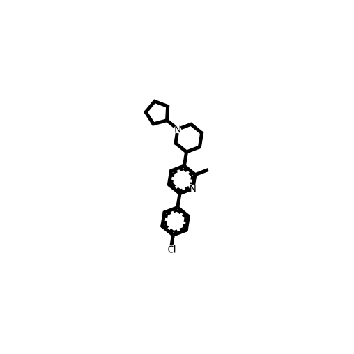 Cc1nc(-c2ccc(Cl)cc2)ccc1C1CCCN(C2CCCC2)C1